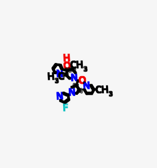 Cc1ccc([C@@H]2CN(c3cncc(F)c3)C[C@H]2C(=O)N2C[C@@H](C)[C@](O)(c3ccccn3)[C@@H](C)C2)nc1